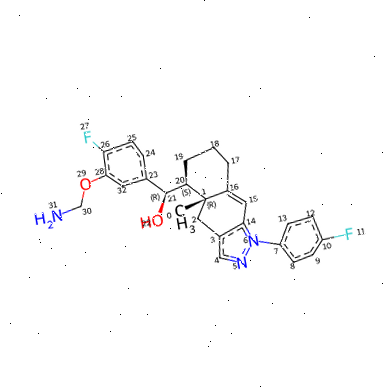 C[C@]12Cc3cnn(-c4ccc(F)cc4)c3C=C1CCC[C@@H]2[C@@H](O)c1ccc(F)c(OCN)c1